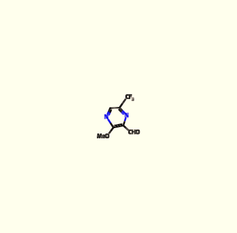 COc1ncc(C(F)(F)F)nc1C=O